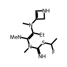 CC/C(=C(/NC)N(C)C(=N)SC(C)F)N(C)C1=CNC1